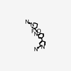 N#Cc1cc(-c2ccc3oc(C4(F)CCCN(C#N)C4)nc3c2)ccn1